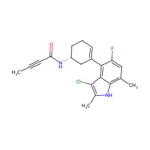 CC#CC(=O)N[C@@H]1CCC=C(c2c(F)cc(C)c3[nH]c(C)c(Cl)c23)C1